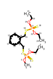 CCOP(=S)(OC)SCc1ccccc1CSP(=S)(OCC)OCC